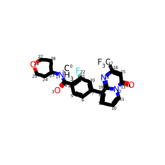 CN(C(=O)c1ccc(-c2cccn3c(=O)cc(C(F)(F)F)nc23)cc1F)C1CCOCC1